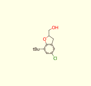 CC(C)(C)c1cc(Cl)cc2c1OC(CO)C2